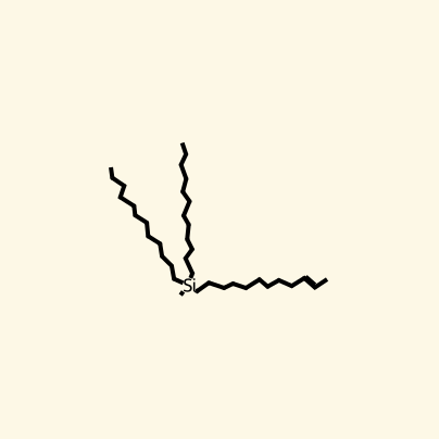 CC=CCCCCCCCCC[Si](C)(CCCCCCCCCCCC)CCCCCCCCCCCC